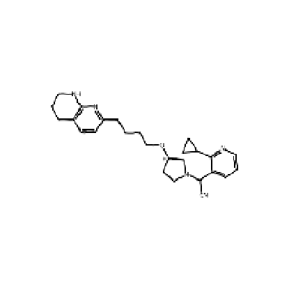 N#CC(c1cccnc1C1CC1)N1CC[C@@H](OCCCCc2ccc3c(n2)NCCC3)C1